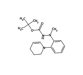 CN(NC(=O)OC(C)(C)C)c1ccccc1N1C=CCCC1